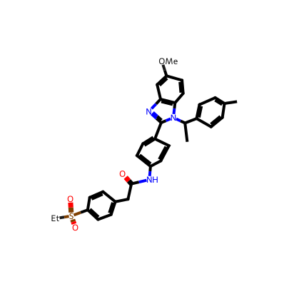 CCS(=O)(=O)c1ccc(CC(=O)Nc2ccc(-c3nc4cc(OC)ccc4n3C(C)c3ccc(C)cc3)cc2)cc1